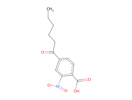 CCCCCC(=O)c1ccc(C(=O)O)c([N+](=O)[O-])c1